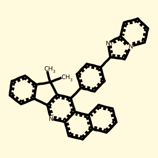 CC1(C)c2ccccc2-c2nc3ccc4ccccc4c3c(-c3ccc(-c4cn5ccccc5n4)cc3)c21